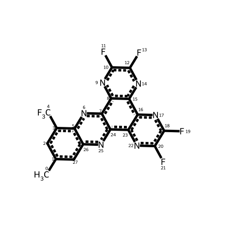 Cc1cc(C(F)(F)F)c2nc3c4nc(F)c(F)nc4c4nc(F)c(F)nc4c3nc2c1